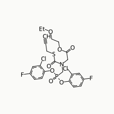 C#CCSC(=O)N(CC(=O)OCCOCC)CP(=O)(Oc1ccc(F)cc1Cl)Oc1ccc(F)cc1Cl